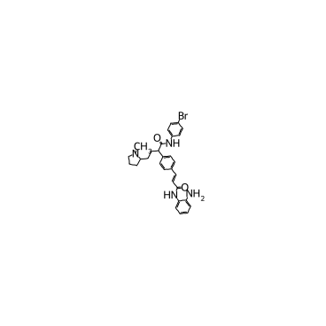 CN1CCCC1CCC(C(=O)Nc1ccc(Br)cc1)c1ccc(/C=C/C(=O)Nc2ccccc2N)cc1